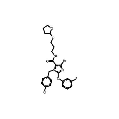 O=C(NCCCOC1CCCO1)c1c(Br)nc(Oc2cccc(F)c2)n1Cc1ccc(Cl)cc1